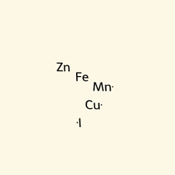 [Cu].[Fe].[I].[Mn].[Zn]